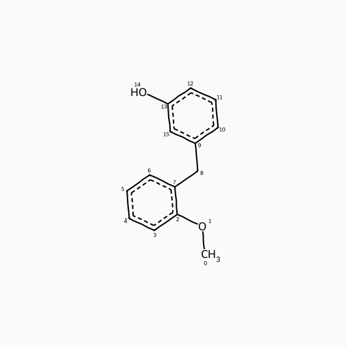 COc1c[c]ccc1Cc1cccc(O)c1